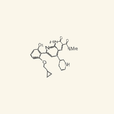 CNC(=O)c1cc2c(C3CCCNC3)cc(-c3c(O)cccc3OCC3CC3)nc2[nH]c1=O